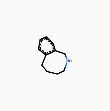 [C]1CCCc2ccccc2CN1